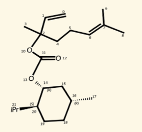 C=CC(C)(CCC=C(C)C)OC(=O)O[C@@H]1C[C@H](C)CC[C@H]1C(C)C